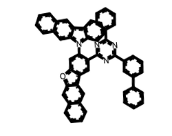 c1ccc(-c2cccc(-c3nc(-c4ccccc4)nc(-c4cc5c(cc4-n4c6ccccc6c6cc7ccccc7cc64)oc4cc6ccccc6cc45)n3)c2)cc1